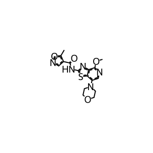 COc1ncc(N2CCOCC2)c2sc(NC(=O)c3cnoc3C)nc12